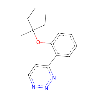 CCC(C)(CC)Oc1ccccc1-c1ccnnn1